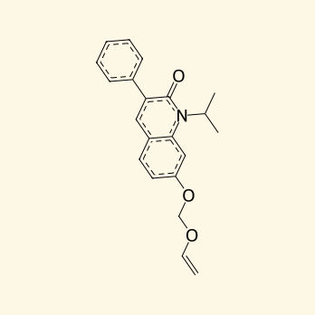 C=COCOc1ccc2cc(-c3ccccc3)c(=O)n(C(C)C)c2c1